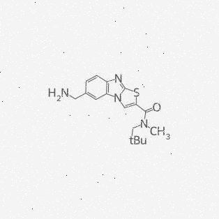 CN(CC(C)(C)C)C(=O)c1cn2c(nc3ccc(CN)cc32)s1